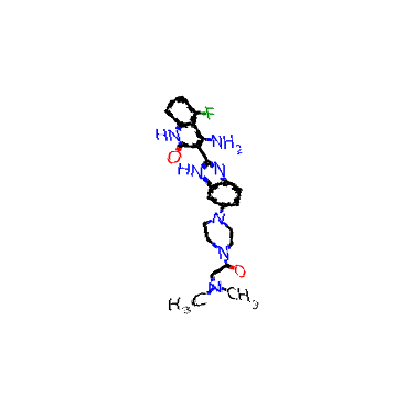 CN(C)CC(=O)N1CCN(c2ccc3nc(-c4c(N)c5c(F)cccc5[nH]c4=O)[nH]c3c2)CC1